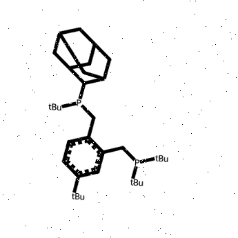 CC(C)(C)c1ccc(CP(C2C3CC4CC(C3)CC2C4)C(C)(C)C)c(CP(C(C)(C)C)C(C)(C)C)c1